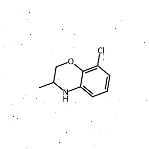 CC1COc2c(Cl)cccc2N1